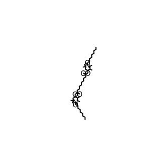 CCCCCCCCON1C(C)C(C)C(OC(=O)CCCCCCCCC(=O)OC2CC(C)(C)N(OCCCCCCCC)C(C)C2C)CC1(C)C